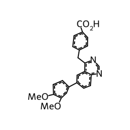 COc1ccc(-c2ccc3ncnc(Cc4ccc(C(=O)O)cc4)c3c2)cc1OC